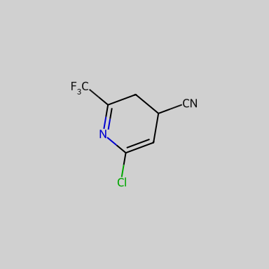 N#CC1C=C(Cl)N=C(C(F)(F)F)C1